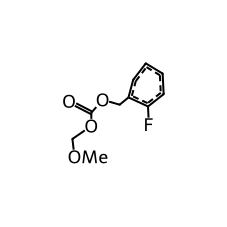 COCOC(=O)OCc1ccccc1F